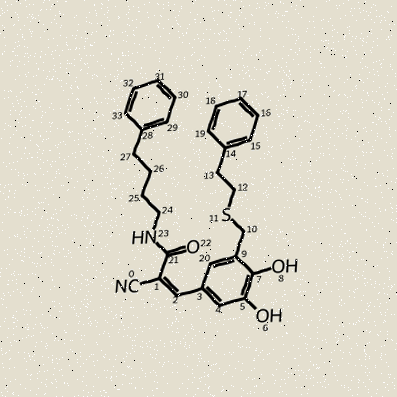 N#CC(=Cc1cc(O)c(O)c(CSCCc2ccccc2)c1)C(=O)NCCCCc1ccccc1